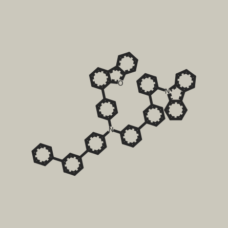 c1ccc(-c2cccc(-c3ccc(N(c4ccc(-c5cccc6c5oc5ccccc56)cc4)c4cccc(-c5cccc(-c6ccccc6-n6c7ccccc7c7ccccc76)c5)c4)cc3)c2)cc1